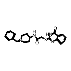 O=C(CSc1nc2ccccc2c(=O)[nH]1)NC1CCN(Cc2ccccc2)CC1